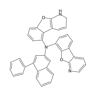 C1=Cc2c(oc3cccc(N(c4cc(-c5ccccc5)c5ccccc5c4)c4cccc5c4oc4ncccc45)c23)NC1